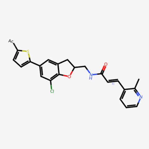 CC(=O)c1ccc(-c2cc(Cl)c3c(c2)CC(CNC(=O)/C=C/c2cccnc2C)O3)s1